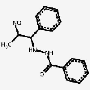 CC(N=O)C(NNC(=O)c1ccccc1)c1ccccc1